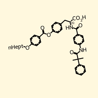 CCCCCCCOc1ccc(C(=O)Oc2ccc(C[C@H](NC(=O)c3ccc(NC(=O)C(C)(C)c4ccccc4)cc3)C(=O)O)cc2)cc1